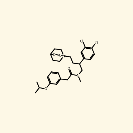 CC(C)Oc1cccc(CC(=O)N(C)CC(CC[N+]23CCC(CC2)CC3)c2ccc(Cl)c(Cl)c2)c1